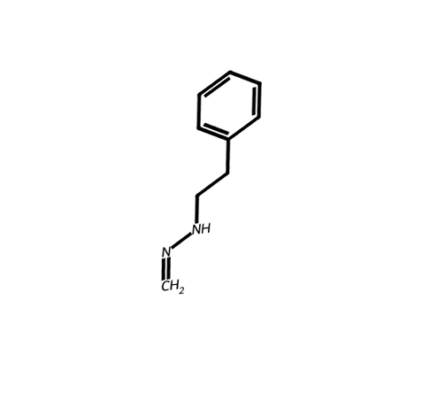 C=NNCCc1ccccc1